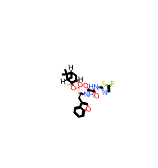 CC1(C)[C@@H]2C[C@H]3OB([C@H](Cc4coc5ccccc45)NC(=O)C(=O)Nc4ncc(F)s4)O[C@@]3(C)[C@H]1C2